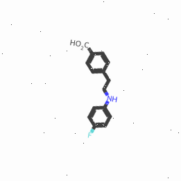 O=C(O)c1ccc(CCNc2ccc(F)cc2)cc1